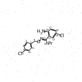 CCC/C(=N\OCc1ccc(Cl)cc1)c1cc(Cl)ccc1N